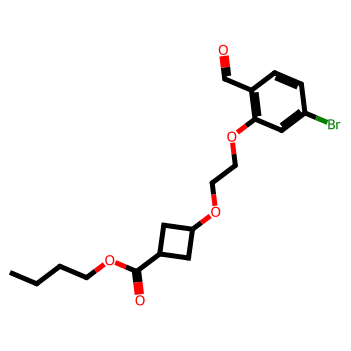 CCCCOC(=O)C1CC(OCCOc2cc(Br)ccc2C=O)C1